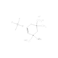 CCCCC1(C(=O)O)C=CCC(C)(C(=O)O)C1.F[B-](F)(F)F.[H+]